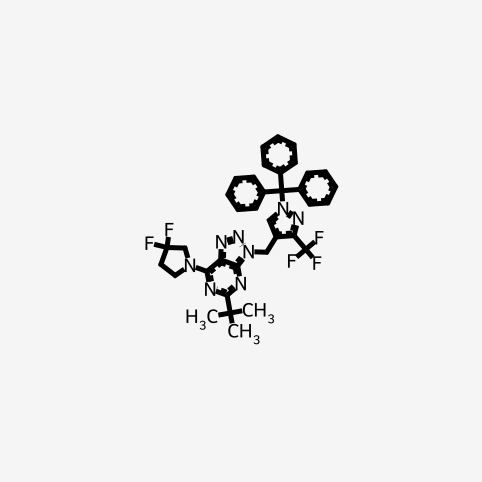 CC(C)(C)c1nc(N2CCC(F)(F)C2)c2nnn(Cc3cn(C(c4ccccc4)(c4ccccc4)c4ccccc4)nc3C(F)(F)F)c2n1